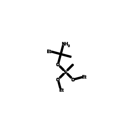 CCO[Si](C)(OCC)OC(C)(N)CC